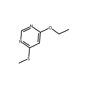 CCOc1cc(SC)ncn1